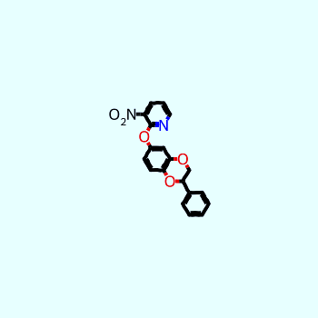 O=[N+]([O-])c1cccnc1Oc1ccc2c(c1)OCC(c1ccccc1)O2